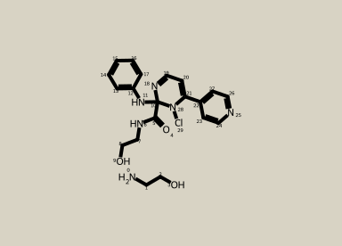 NCCO.O=C(NCCO)C1(Nc2ccccc2)N=CC=C(c2ccncc2)N1Cl